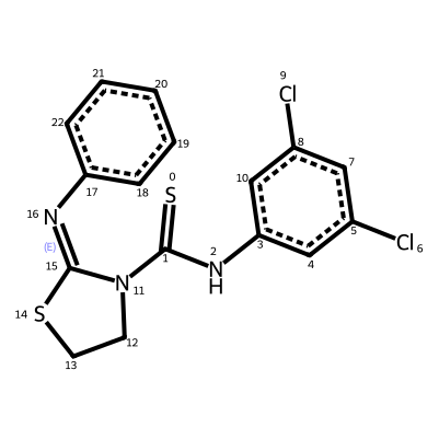 S=C(Nc1cc(Cl)cc(Cl)c1)N1CCS/C1=N/c1ccccc1